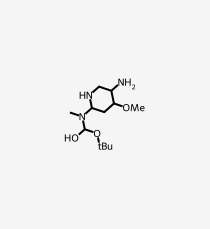 COC1CC(N(C)C(O)OC(C)(C)C)NCC1N